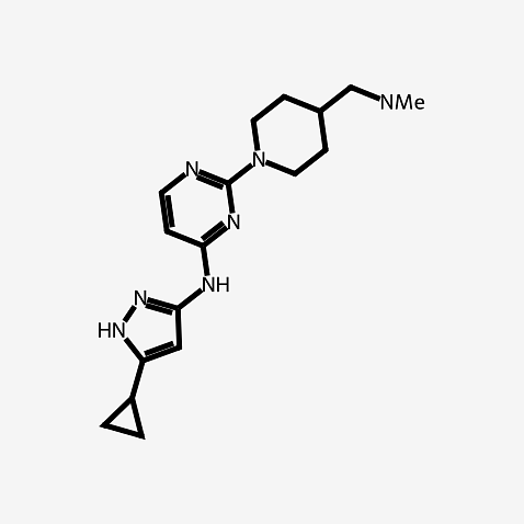 CNCC1CCN(c2nccc(Nc3cc(C4CC4)[nH]n3)n2)CC1